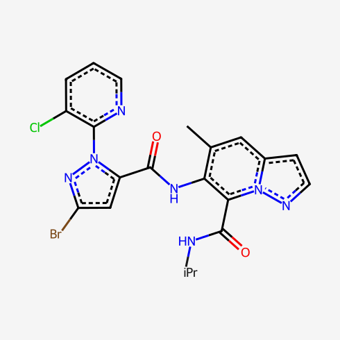 Cc1cc2ccnn2c(C(=O)NC(C)C)c1NC(=O)c1cc(Br)nn1-c1ncccc1Cl